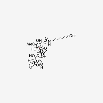 CCCCCCCCCCCCCCCCCCNC(=O)OCC1O[C@@H](O[C@H]2C3OC[C@H]2O[C@@H](O[C@@H]2C(O)[C@H](O[C@H]4C5OC[C@H]4O[C@@H](C)C5O)OC(CO)[C@@H]2O)C3O)C(O)[C@@H](OC)[C@H]1O